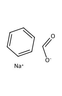 O=C[O-].[Na+].c1ccccc1